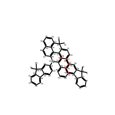 CC1(C)c2ccccc2-c2ccc(-c3ccc4c(c3)-c3c(N(c5ccc6c(c5)C(C)(C)c5ccccc5-6)c5cccc6ccccc56)ccc5cccc(c35)C4(C)C)cc21